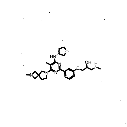 CNCC(O)COc1cccc(-c2nc(N[C@@H]3CCOC3)c(C)c(N3CCC4(CN(C)C4)C3)n2)c1